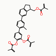 C=C(C)C(=O)OCC1CCc2ccc(-c3ccc(-c4ccc(OC(=O)C(=C)C)c(OC(=O)C(=C)C)c4)c(C)c3)cc21